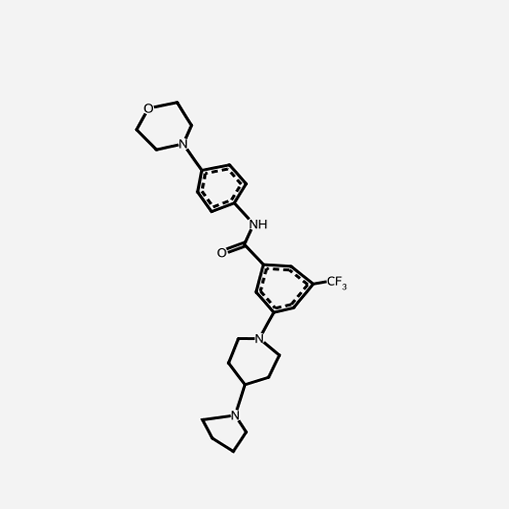 O=C(Nc1ccc(N2CCOCC2)cc1)c1cc(N2CCC(N3CCCC3)CC2)cc(C(F)(F)F)c1